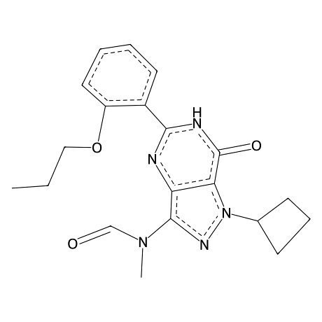 CCCOc1ccccc1-c1nc2c(N(C)C=O)nn(C3CCC3)c2c(=O)[nH]1